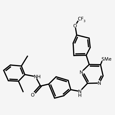 CSc1cnc(Nc2ccc(C(=O)Nc3c(C)cccc3C)cc2)nc1-c1ccc(OC(F)(F)F)cc1